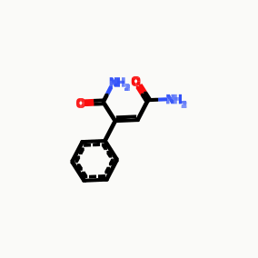 NC(=O)C=C(C(N)=O)c1ccccc1